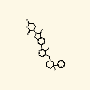 O=C1CCC(N2Cc3cc(-c4nccc(CN5CCCC(F)(c6ccccc6)C5)c4F)ccc3C2=O)C(=O)N1